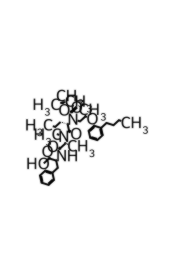 CCCCc1ccccc1O[C@@H](C)CN(C(=O)OC(C)(C)C)[C@@H](CCC)C(=O)N(C)[C@H](C)C(=O)NC(Cc1ccccc1)C(=O)O